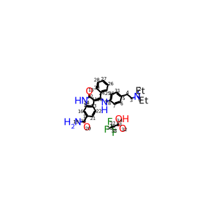 CCN(CC)CCc1ccc(NC(=C2C(=O)Nc3cc(C(N)=O)ccc32)c2ccccc2)cc1.O=C(O)C(F)(F)F